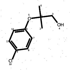 CC(C)(CO)Oc1ccc(Cl)cc1